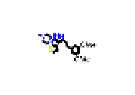 COc1cc(CCc2cc([N+]3(c4cccs4)CCN(C)CC3)[nH]n2)cc(OC)c1